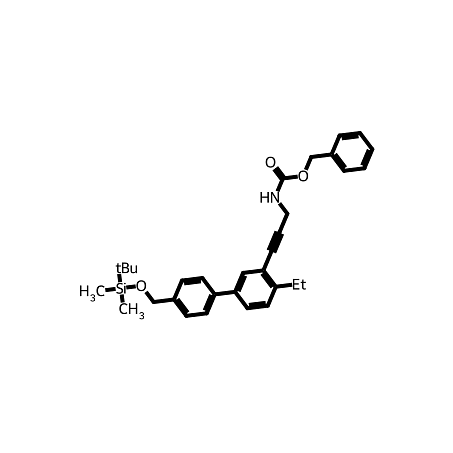 CCc1ccc(-c2ccc(CO[Si](C)(C)C(C)(C)C)cc2)cc1C#CCNC(=O)OCc1ccccc1